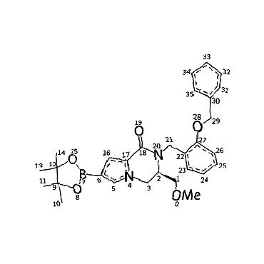 COC[C@H]1Cn2cc(B3OC(C)(C)C(C)(C)O3)cc2C(=O)N1Cc1ccccc1OCc1ccccc1